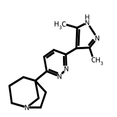 Cc1n[nH]c(C)c1-c1ccc(C23CCCN(CC2)C3)nn1